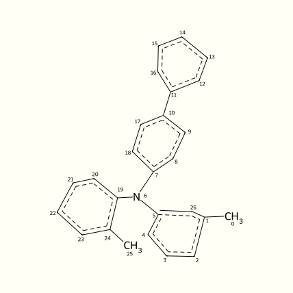 Cc1cccc(N(c2ccc(-c3ccccc3)cc2)c2ccccc2C)c1